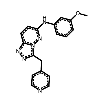 COc1cccc(Nc2ccc3nnc(Cc4ccncc4)n3n2)c1